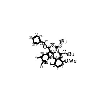 COc1ccc(C)c(-n2c(N(C(=O)OC(C)(C)C)C(=O)OC(C)(C)C)c(C(=O)OCc3ccccc3)c3cc(C)c(C)nc32)c1C